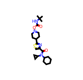 CC(C)(C)NC(=O)ON1CCC(c2nc(C(=O)N(C3CCCCC3)C3CC3)cs2)CC1